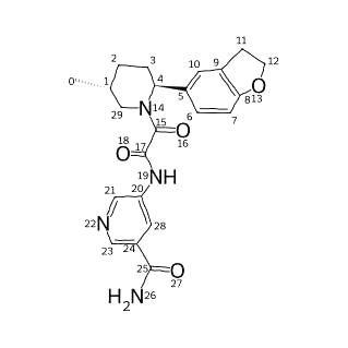 C[C@@H]1CC[C@@H](c2ccc3c(c2)CCO3)N(C(=O)C(=O)Nc2cncc(C(N)=O)c2)C1